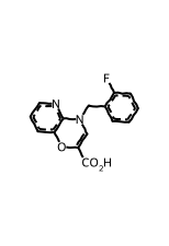 O=C(O)C1=CN(Cc2ccccc2F)c2ncccc2O1